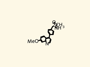 COc1ccc2c(-c3ccc(CS(C)(=N)=O)cc3)ccnc2c1